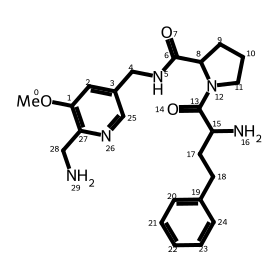 COc1cc(CNC(=O)C2CCCN2C(=O)C(N)CCc2ccccc2)cnc1CN